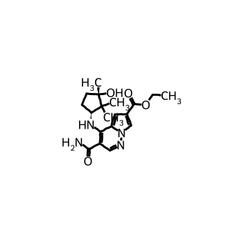 CCOC(=O)c1cc2c(N[C@@H]3CC[C@](C)(O)C3(C)C)c(C(N)=O)cnn2c1